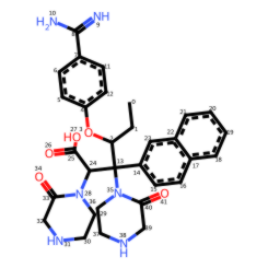 CCC(Oc1ccc(C(=N)N)cc1)C(c1ccc2ccccc2c1)(C(C(=O)O)N1CCNCC1=O)N1CCNCC1=O